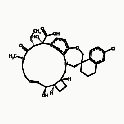 CC[C@H]1C(=O)N(C)CC/C=C/[C@H](O)[C@@H]2CC[C@H]2CN2C[C@@]3(CCCc4cc(Cl)ccc43)COc3ccc(cc32)[C@]1(O)C(=O)O